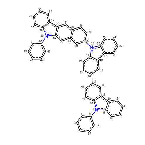 c1ccc(-n2c3ccccc3c3cc(-c4ccc5c(c4)c4ccccc4n5-c4ccc5cc6c7ccccc7n(-c7ccccc7)c6cc5c4)ccc32)cc1